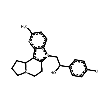 Cc1ccc2c(n1)c1c(n2CC(O)c2ccc(Cl)cc2)CCN2CCCC12